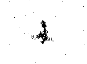 COc1cccc([C@@]23CCN(CC4CC4)C[C@@]2(OC(C)=O)CC[C@@H](NC(=O)C#Cc2ccc(C(F)(F)F)cc2)C3)c1